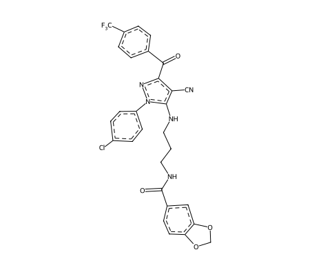 N#Cc1c(C(=O)c2ccc(C(F)(F)F)cc2)nn(-c2ccc(Cl)cc2)c1NCCCNC(=O)c1ccc2c(c1)OCO2